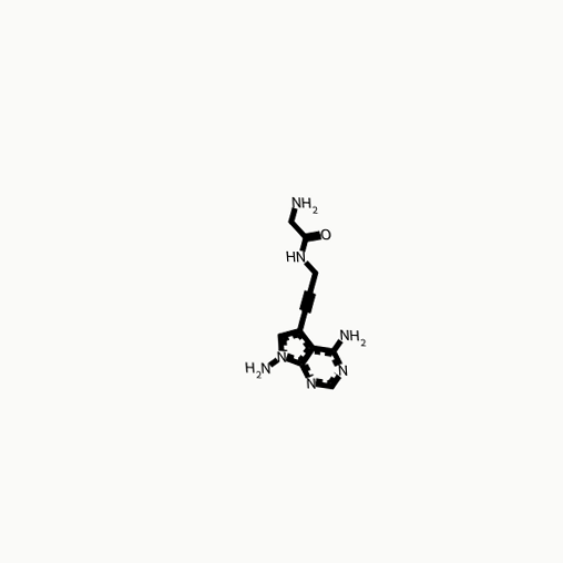 NCC(=O)NCC#Cc1cn(N)c2ncnc(N)c12